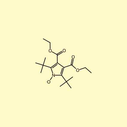 CCOC(=O)c1c(C(=O)OCC)c(C(C)(C)C)n([O])c1C(C)(C)C